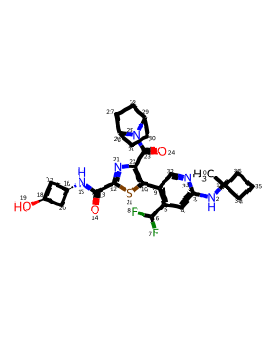 CC1(Nc2cc(C(F)F)c(-c3sc(C(=O)N[C@H]4C[C@H](O)C4)nc3C(=O)N3C4CCC3CC4)cn2)CCC1